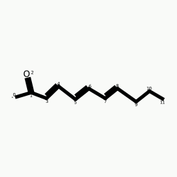 [CH2]C(=O)C=CC=CC=CCCC